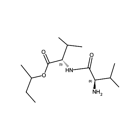 CCC(C)OC(=O)[C@@H](NC(=O)[C@H](N)C(C)C)C(C)C